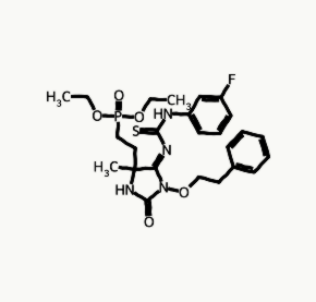 CCOP(=O)(CCC1(C)NC(=O)N(OCCc2ccccc2)C1=NC(=S)Nc1cccc(F)c1)OCC